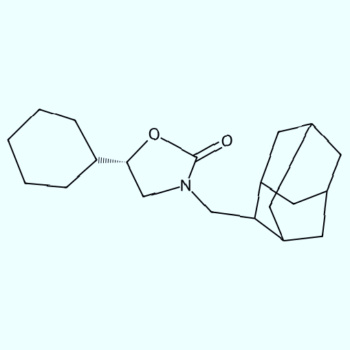 O=C1O[C@@H](C2CCCCC2)CN1CC1C2CC3CC(C2)CC1C3